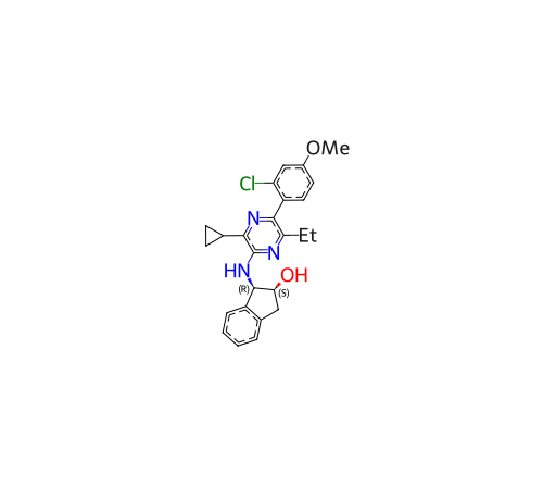 CCc1nc(N[C@@H]2c3ccccc3C[C@@H]2O)c(C2CC2)nc1-c1ccc(OC)cc1Cl